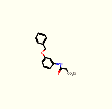 CCOC(=O)CC(=O)Nc1cccc(OCc2ccccc2)c1